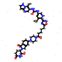 Cc1cc(NC(=O)Nc2cnc3ccnn3c2C(C)C)cnc1-c1noc(CCCCC(=O)N2CCN(c3ccc4c(c3)CN(C3CCC(=O)NC3=O)C4=O)CC2)n1